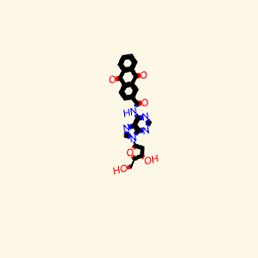 O=C(Nc1ncnc2c1ncn2[C@H]1CC(O)[C@@H](CO)O1)c1ccc2c(c1)C(=O)c1ccccc1C2=O